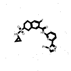 CC(C)n1cnnc1-c1cccc(NC(=O)c2cc3c(cc2F)CCC(S(=O)(=O)NC2CC2)C3)n1